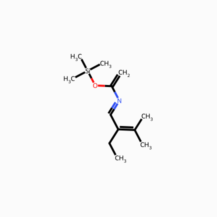 C=C(/N=C/C(CC)=C(C)C)O[Si](C)(C)C